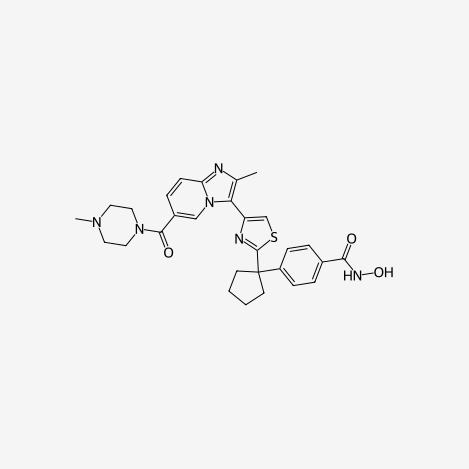 Cc1nc2ccc(C(=O)N3CCN(C)CC3)cn2c1-c1csc(C2(c3ccc(C(=O)NO)cc3)CCCC2)n1